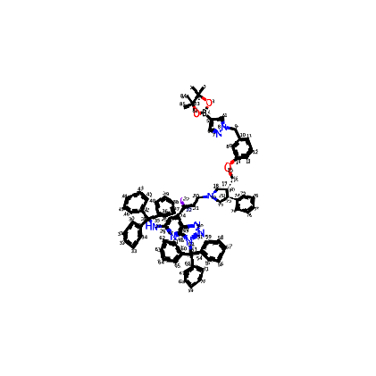 CC1(C)OB(c2cnn(Cc3cccc(OC[C@H]4CN(C/C=C(\I)c5cc(NC(c6ccccc6)(c6ccccc6)c6ccccc6)nc6c5nnn6C(c5ccccc5)(c5ccccc5)c5ccccc5)C[C@@H]4c4ccccc4)c3)c2)OC1(C)C